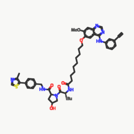 C#Cc1cccc(Nc2ncnc3cc(OC)c(OCCCCCCCCCC(=O)N[C@H](C(=O)N4CC(O)CC4C(=O)NCc4ccc(-c5scnc5C)cc4)C(C)(C)C)cc23)c1